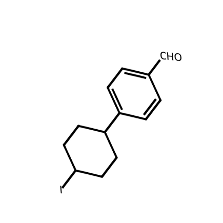 O=Cc1ccc(C2CCC(I)CC2)cc1